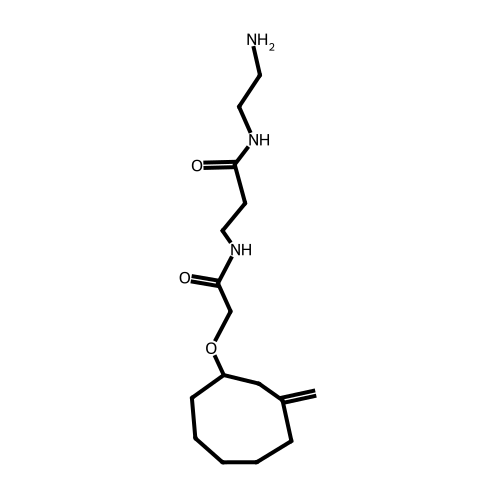 C=C1CCCCCC(OCC(=O)NCCC(=O)NCCN)C1